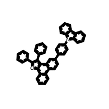 c1ccc(-c2oc3c4ccccc4c4ccc(-c5ccc(-n6c7ccccc7c7ccccc76)cc5)cc4c3c2-c2ccccc2)cc1